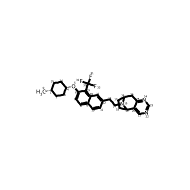 C[C@H]1CC[C@@H](Oc2ccc3ccc(CCN4C5CCC4c4cncnc4C5)cc3c2C(F)(F)F)CC1